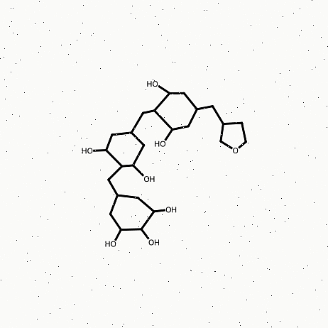 OC1CC(CC2C(O)CC(CC3C(O)CC(CC4CCOC4)CC3O)CC2O)CC(O)C1O